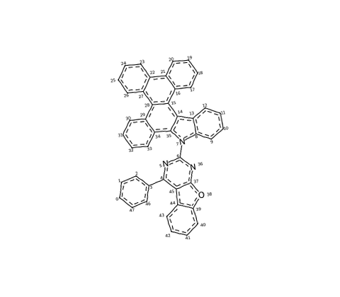 c1ccc(-c2nc(-n3c4ccccc4c4c5c6ccccc6c6ccccc6c5c5ccccc5c43)nc3oc4ccccc4c23)cc1